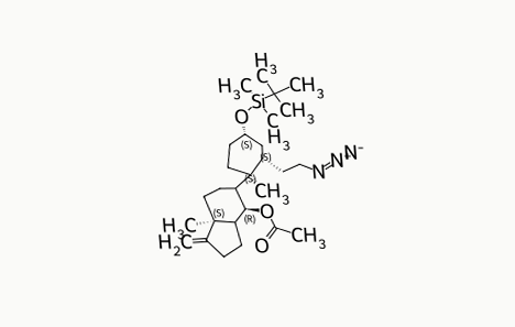 C=C1CCC2[C@H](OC(C)=O)C([C@@]3(C)CC[C@H](O[Si](C)(C)C(C)(C)C)C[C@@H]3CCN=[N+]=[N-])CC[C@]12C